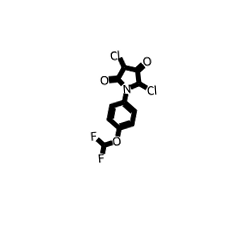 O=C1C(Cl)C(=O)N(c2ccc(OC(F)F)cc2)C1Cl